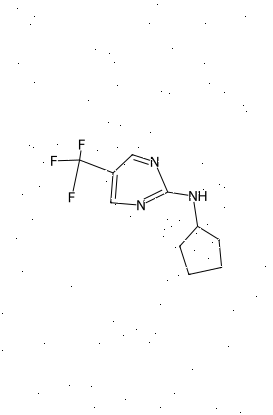 FC(F)(F)c1cnc(NC2CCCC2)nc1